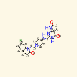 O=C1CCc2c(nc(CNC3CCN(CCn4c(=O)ccc5ccc(F)cc54)CC3)[nH]c2=O)N1